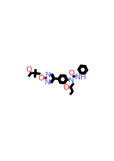 CCC1CN(C(=O)Nc2ccccc2)c2ccc(-c3cnc(OCC(C)(C)C(C)=O)nc3)cc2O1